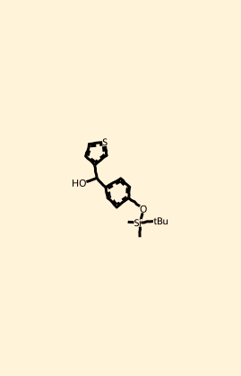 CC(C)(C)[Si](C)(C)Oc1ccc(C(O)c2ccsc2)cc1